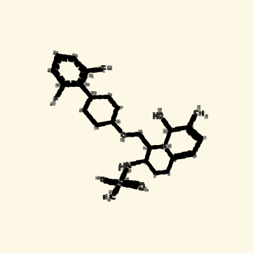 CC1=CC=C2CCC(NS(C)(=O)=O)C(COC3CCC(c4c(F)cccc4F)CC3)N2C1O